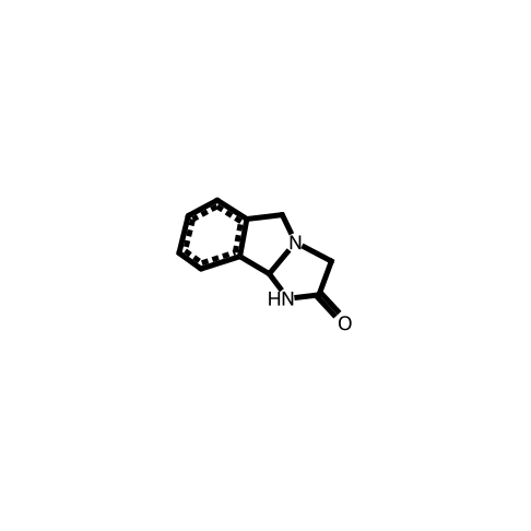 O=C1CN2Cc3ccccc3C2N1